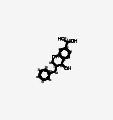 OB(O)c1ccc2c(c1)OCC(Cc1ccccc1)C2O